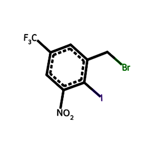 O=[N+]([O-])c1cc(C(F)(F)F)cc(CBr)c1I